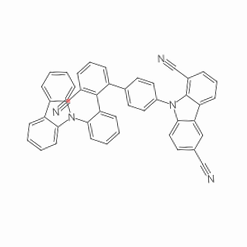 N#Cc1ccc2c(c1)c1cccc(C#N)c1n2-c1ccc(-c2cccc(C#N)c2-c2ccccc2-n2c3ccccc3c3ccccc32)cc1